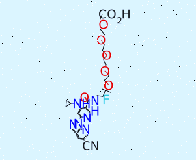 CC(C)(OCCOCCOCCOCCOCC(=O)O)C(F)CNC(=O)c1cnc(-n2ncc3cc(C#N)cnc32)cc1NC1CC1